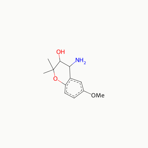 COc1ccc2c(c1)C(N)C(O)C(C)(C)O2